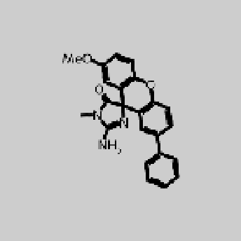 COc1ccc2c(c1)C1(N=C(N)N(C)C1=O)c1cc(-c3ccccc3)ccc1O2